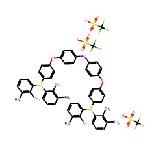 Cc1cccc([S+](c2ccc(Oc3ccc([I+]c4ccc(Oc5ccc([S+](c6cccc(C)c6C)c6cccc(C)c6C)cc5)cc4)cc3)cc2)c2cccc(C)c2C)c1C.O=S(=O)([O-])C(F)(F)F.O=S(=O)([O-])C(F)(F)F.O=S(=O)([O-])C(F)(F)F